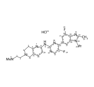 CNCCN1CCc2nc(Nc3ncc(F)c(-c4cc(F)c5nc(C)n(C(C)C)c5c4)n3)ccc2C1.Cl